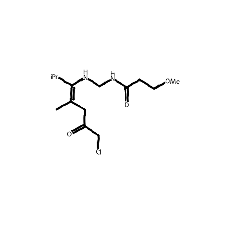 COCCC(=O)NCNC(=C(C)CC(=O)CCl)C(C)C